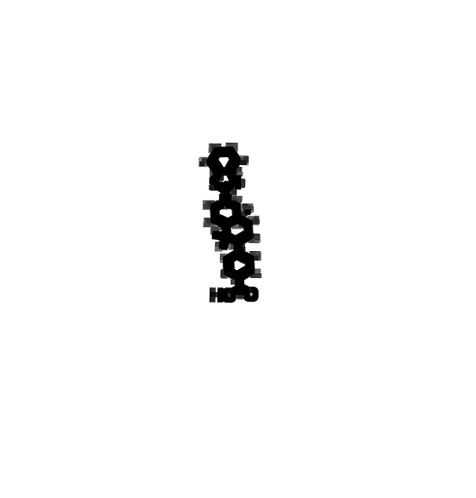 CC1(C)C(c2ccc(C(=O)O)cc2)=CC[C@]2(C)CN(c3nc4ccccc4s3)CC=C12